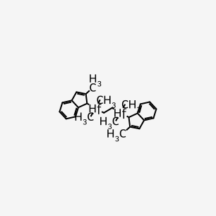 CC1=Cc2ccccc2[CH]1[Hf]([CH3])([CH3])[CH2][CH2][Hf]([CH3])([CH3])[CH]1C(C)=Cc2ccccc21